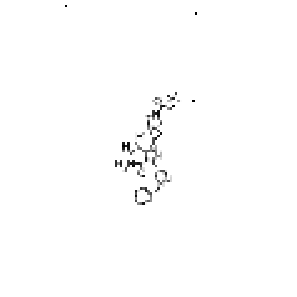 CC(C)(C)OC(=O)N1CC2[C@@H]3[C@H](n4nc(-c5cnn(Cc6ccccc6)c5)c(C(N)=O)c4N)C[C@]23C1